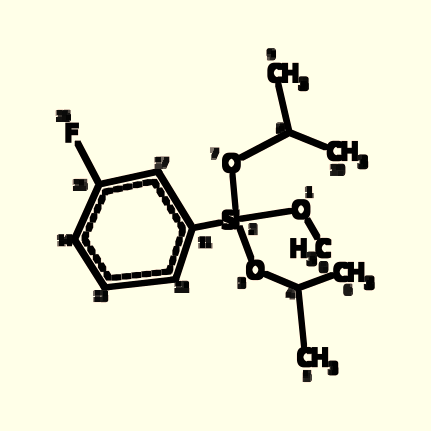 CO[Si](OC(C)C)(OC(C)C)c1cccc(F)c1